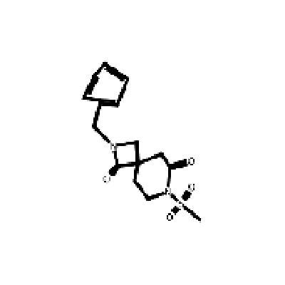 CS(=O)(=O)N1CCC2(CC1=O)CN(Cc1ccccc1)C2=O